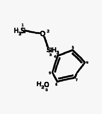 O.[SiH3]O[SiH3].c1ccccc1